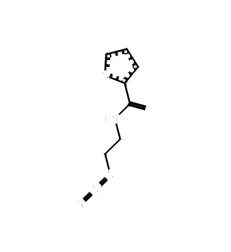 [N-]=[N+]=NCCNC(=O)c1ccc[nH]1